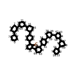 c1ccc(-c2cccc(-c3cccc(-c4cccc(-c5ccc(-c6cccc7c6sc6c(-c8ccc(-c9cccc(-c%10cccc(-c%11cccc(-c%12ccccc%12)c%11)c%10)c9)cc8)cccc67)cc5)c4)c3)c2)cc1